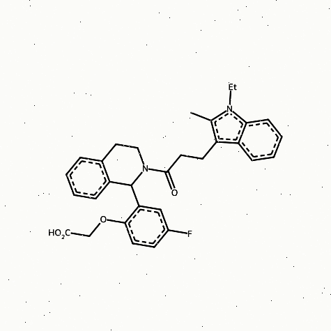 CCn1c(C)c(CCC(=O)N2CCc3ccccc3C2c2cc(F)ccc2OCC(=O)O)c2ccccc21